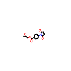 O=C(OCC1CO1)c1ccc(N2C(=O)C=CC2=O)cc1